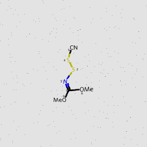 COC(=NSSC#N)OC